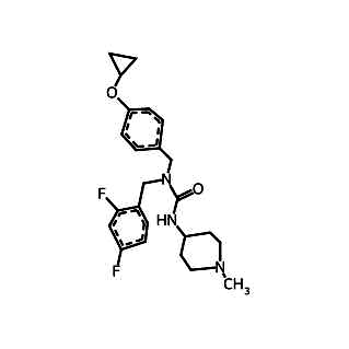 CN1CCC(NC(=O)N(Cc2ccc(OC3CC3)cc2)Cc2ccc(F)cc2F)CC1